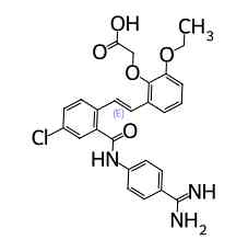 CCOc1cccc(/C=C/c2ccc(Cl)cc2C(=O)Nc2ccc(C(=N)N)cc2)c1OCC(=O)O